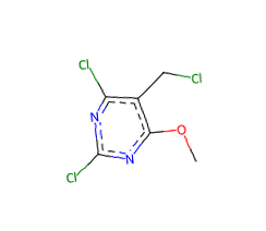 COc1nc(Cl)nc(Cl)c1CCl